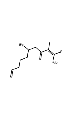 C=CCCCC(CC(=C)/C(C)=C(/F)C(C)CC)C(C)C